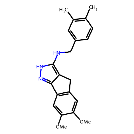 COc1cc2c(cc1OC)-c1n[nH]c(NCc3ccc(C)c(C)c3)c1C2